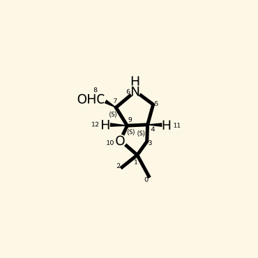 CC1(C)C[C@H]2CN[C@H](C=O)[C@H]2O1